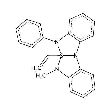 C=CS12N(C)c3ccccc3N1c1ccccc1N2c1ccccc1